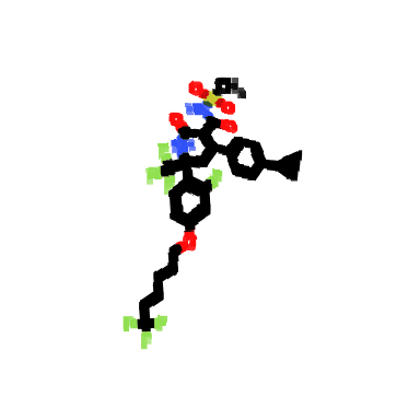 CS(=O)(=O)NC(=O)C1=C(c2ccc(C3CC3)cc2)CC(c2ccc(OCCCCCC(F)(F)F)cc2F)(C(F)(F)F)NC1=O